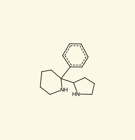 c1ccc(C2(C3CCCN3)CCCCN2)cc1